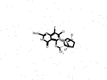 CSc1nc2c(F)c(Cl)nc(OC([C@@H]3NC[C@H]4CC[C@@H]3N4C(=O)O)C(F)(F)F)c2c(=O)[nH]1